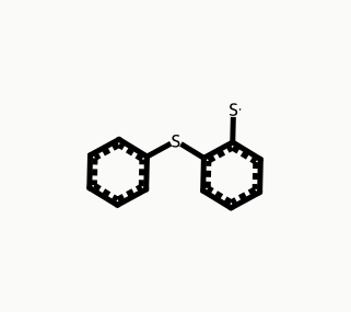 [S]c1ccccc1Sc1ccccc1